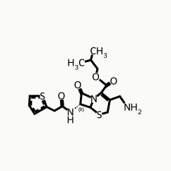 CC(C)COC(=O)C1=C(CN)CSC2[C@H](NC(=O)Cc3cccs3)C(=O)N12